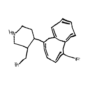 CC(C)CC1CNCCC1c1ccc(F)c2ccccc12